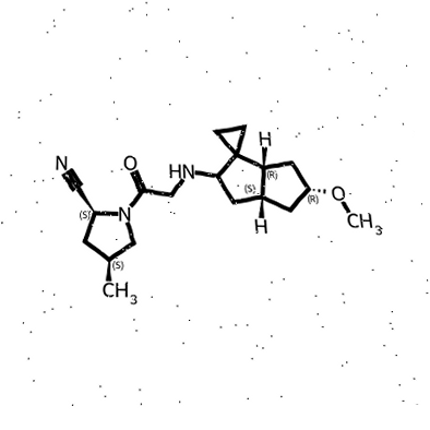 CO[C@@H]1C[C@@H]2CC(NCC(=O)N3C[C@@H](C)C[C@H]3C#N)C3(CC3)[C@@H]2C1